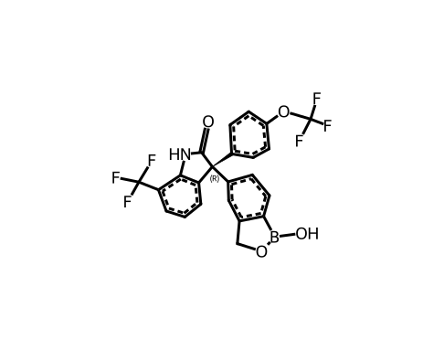 O=C1Nc2c(C(F)(F)F)cccc2[C@@]1(c1ccc(OC(F)(F)F)cc1)c1ccc2c(c1)COB2O